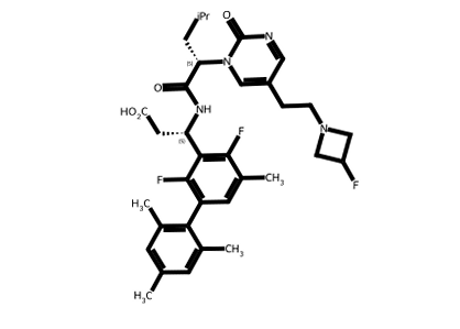 Cc1cc(C)c(-c2cc(C)c(F)c([C@H](CC(=O)O)NC(=O)[C@H](CC(C)C)n3cc(CCN4CC(F)C4)cnc3=O)c2F)c(C)c1